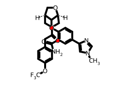 Cn1cnc(-c2ccc(OC3[C@@H]4CO[C@H]3CN(C(=O)Cc3ccc(OC(F)(F)F)cc3)C4)c(C(N)=O)c2)c1